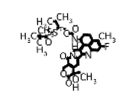 CC[C@@]1(O)C(=O)OCc2c1cc1n(c2=O)Cc2c-1nc1cc(F)c(C)c3c1c2[C@@H](NC(=O)OC[C@H](SSC(=O)C(C)(C)C)C(C)C)CC3